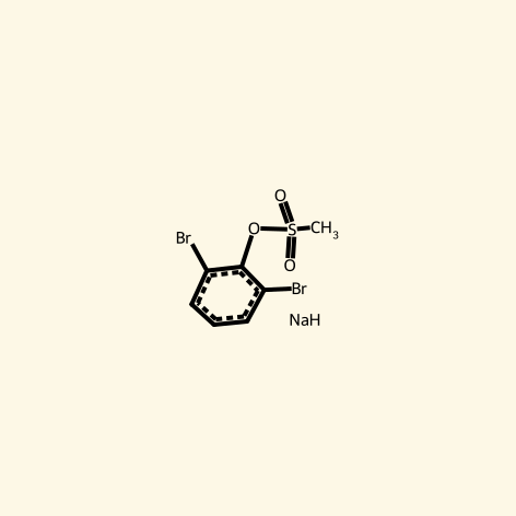 CS(=O)(=O)Oc1c(Br)cccc1Br.[NaH]